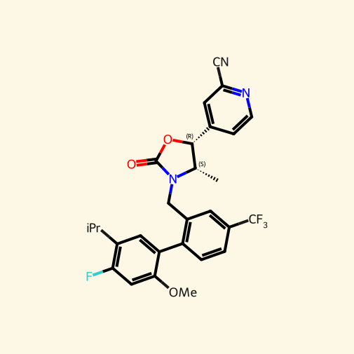 COc1cc(F)c(C(C)C)cc1-c1ccc(C(F)(F)F)cc1CN1C(=O)O[C@H](c2ccnc(C#N)c2)[C@@H]1C